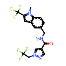 Cn1c(C(F)(F)F)cc2cc(CNC(=O)c3cnn(CC(F)(F)F)c3)ccc21